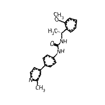 COc1ccccc1[C@@H](C)NC(=O)Nc1ccc(-c2ccnc(C)c2)cc1